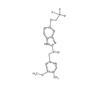 COc1cc(C[S+]([O-])c2nc3cc(OCC(F)(F)F)ccc3[nH]2)ncc1C